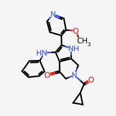 COc1cnccc1-c1[nH]c2c(c1Nc1ccccc1)C(=O)CN(C(=O)C1CC1)C2